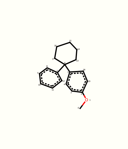 COc1ccc(C2(c3ccccc3)CCCCC2)cc1